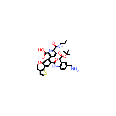 CCCNC(=O)c1ccc(-c2cc3c(cc2C(=O)Nc2ccc(CN)cc2CC(=O)OC(C)(C)C)-c2sccc2CCO3)c(C(=O)O)n1